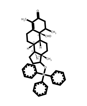 CC1=C2CC[C@@H]3[C@@H](CC[C@]4(C)C(O[Si](c5ccccc5)(c5ccccc5)c5ccccc5)CC[C@@H]34)[C@@]2(C=O)C(C)CC1=O